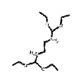 CCOC(OCC)[SiH2]CC[SiH2]C(OCC)OCC